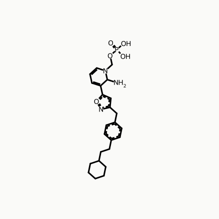 NC1C(c2cc(Cc3ccc(CCC4CCCCC4)cc3)no2)=CC=CN1COP(=O)(O)O